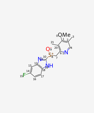 COc1c(C)cnc(C[S+]([O-])c2nc3cc(F)ccc3[nH]2)c1C